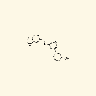 Oc1cccc(-c2cncc(NCc3ccc4c(c3)OCO4)c2)c1